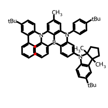 Cc1cc2c3c(c1)N(c1ccc(C(C)(C)C)cc1-c1ccccc1)c1ccccc1B3c1ccc(N3c4ccc(C(C)(C)C)cc4C4(C)CCCC34C)cc1N2c1ccc(C(C)(C)C)cc1